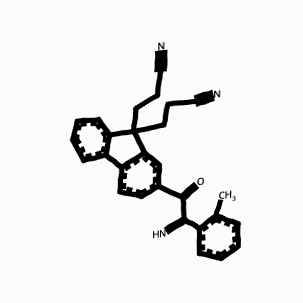 Cc1ccccc1C(=N)C(=O)c1ccc2c(c1)C(CCC#N)(CCC#N)c1ccccc1-2